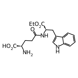 CCOC(=O)[C@@H](Cc1c[nH]c2ccccc12)NC(=O)CC[C@@H](N)C(=O)O